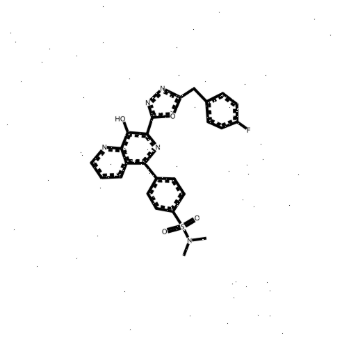 CN(C)S(=O)(=O)c1ccc(-c2nc(-c3nnc(Cc4ccc(F)cc4)o3)c(O)c3ncccc23)cc1